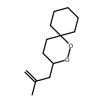 C=C(C)CC1CCC2(CCCCC2)OO1